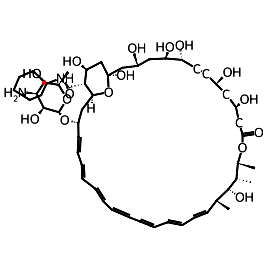 C[C@@H]1[C@H](O)[C@@H](C)/C=C/C=C/C=C/C=C/C=C/C=C/C=C/[C@H](O[C@@H]2O[C@H](C)[C@@H](O)[C@H](N)[C@@H]2O)C[C@@H]2O[C@](O)(C[C@@H](O)C[C@@H](O)[C@H](O)CC[C@@H](O)C[C@@H](O)CC(=O)O[C@H]1C)C[C@H](O)[C@H]2C(=O)NC1CCCCC1